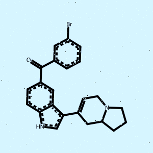 O=C(c1cccc(Br)c1)c1ccc2[nH]cc(C3=CCN4CCCC4C3)c2c1